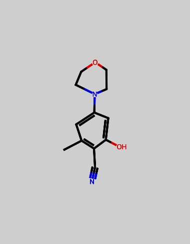 Cc1cc(N2CCOCC2)cc(O)c1C#N